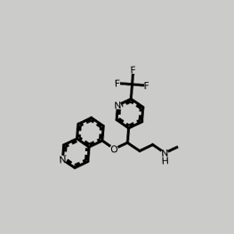 CNCCC(Oc1cccc2cnccc12)c1ccc(C(F)(F)F)nc1